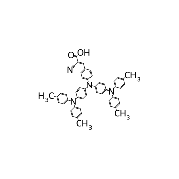 Cc1ccc(N(c2ccc(C)cc2)c2ccc(N(c3ccc(/C=C(\C#N)C(=O)O)cc3)c3ccc(N(c4ccc(C)cc4)c4ccc(C)cc4)cc3)cc2)cc1